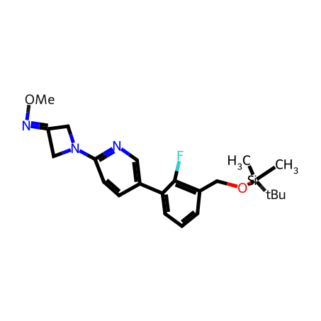 CON=C1CN(c2ccc(-c3cccc(CO[Si](C)(C)C(C)(C)C)c3F)cn2)C1